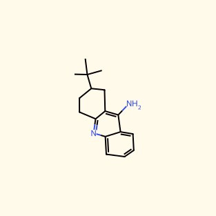 CC(C)(C)C1CCc2nc3ccccc3c(N)c2C1